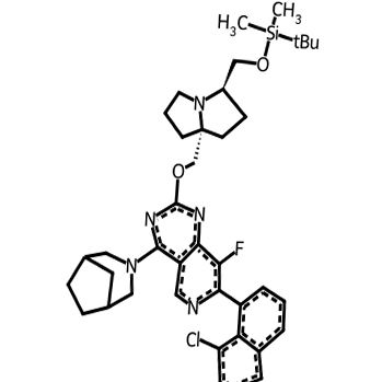 CC(C)(C)[Si](C)(C)OC[C@H]1CC[C@@]2(COc3nc(N4CC5CCC(C5)C4)c4cnc(-c5cccc6cccc(Cl)c56)c(F)c4n3)CCCN12